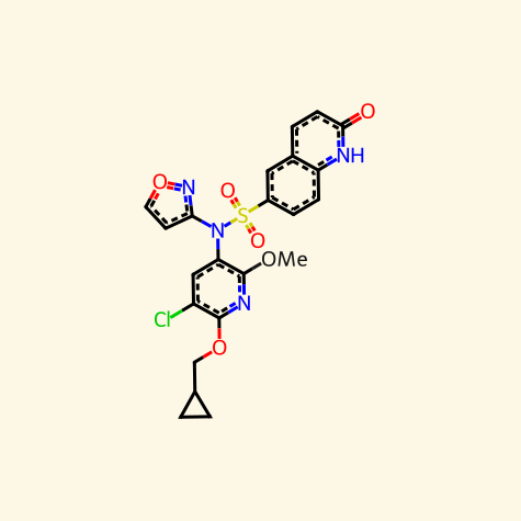 COc1nc(OCC2CC2)c(Cl)cc1N(c1ccon1)S(=O)(=O)c1ccc2[nH]c(=O)ccc2c1